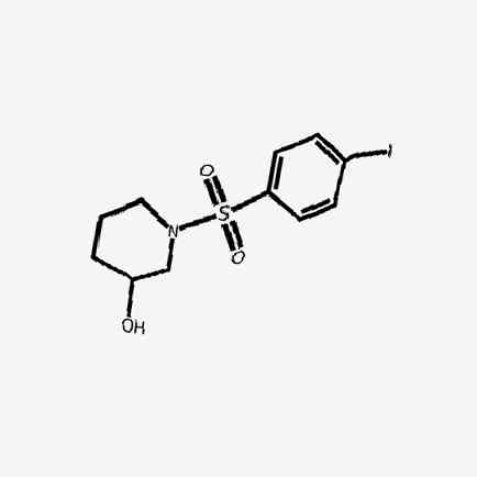 O=S(=O)(c1ccc(I)cc1)N1CCCC(O)C1